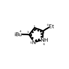 CCc1cc(C(C)CC)n[nH]1